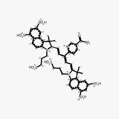 CC1(C)C(=CC=C(/C=C/C2N(CCCS(=O)(=O)O)c3ccc4c(S(=O)(=O)O)cc(S(=O)(=O)O)cc4c3C2(C)C)c2ccc(C(N)=O)cn2)N(CCCS(=O)(=O)O)c2ccc3c(S(=O)(=O)O)cc(S(=O)(=O)O)cc3c21